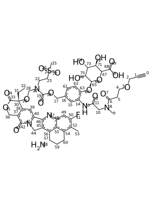 C#CCOCCC(=O)N(C)CC(=O)Nc1cc(COC(=O)N(CCS(C)(=O)=O)CO[C@@]2(CC)C(=O)OCc3c2cc2n(c3=O)Cc3c-2nc2cc(F)c(C)c4c2c3[C@@H](N)CC4)ccc1O[C@@H]1OC(C(=O)O)[C@H](O)C(O)C1O